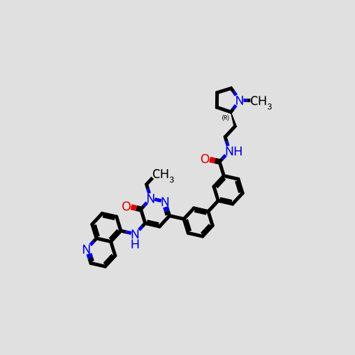 CCn1nc(-c2cccc(-c3cccc(C(=O)NCC[C@H]4CCCN4C)c3)c2)cc(Nc2cccc3ncccc23)c1=O